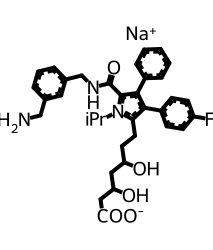 CC(C)n1c(CCC(O)CC(O)CC(=O)[O-])c(-c2ccc(F)cc2)c(-c2ccccc2)c1C(=O)NCc1cccc(CN)c1.[Na+]